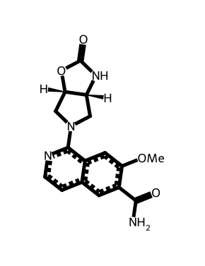 COc1cc2c(N3C[C@@H]4OC(=O)N[C@@H]4C3)nccc2cc1C(N)=O